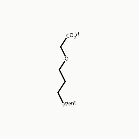 CCCCCCCCOCC(=O)O